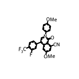 COc1ccc(-n2cc(-c3ccc(C(F)(F)F)c(F)c3)c3cc(OC)cc(C#N)c3c2=O)cc1